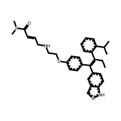 CC/C(=C(/c1ccc(OCCNC/C=C/C(=O)N(C)C)cc1)c1ccc2[nH]ncc2c1)c1ccccc1C(C)C